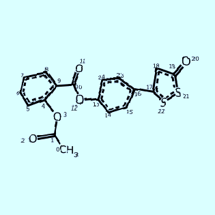 CC(=O)Oc1ccccc1C(=O)Oc1ccc(-c2cc(=O)ss2)cc1